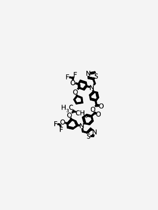 CC(C)Oc1cc(N(Cc2cncs2)c2ccc(C(=O)OC(=O)c3ccc(N(Cc4cncs4)c4ccc(OC(F)F)c(OC5CCCC5)c4)cc3)cc2)ccc1OC(F)F